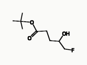 CC(C)(C)OC(=O)CCC(O)CF